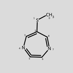 CSC1=CN=C=CN=C1